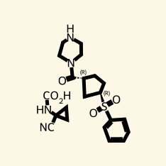 N#CC1(NC(=O)O)CC1.O=C([C@@H]1CC[C@@H](S(=O)(=O)c2ccccc2)C1)N1CCNCC1